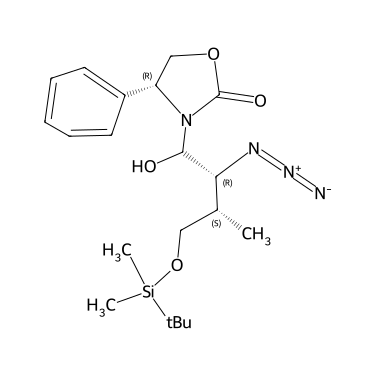 C[C@H](CO[Si](C)(C)C(C)(C)C)[C@@H](N=[N+]=[N-])C(O)N1C(=O)OC[C@H]1c1ccccc1